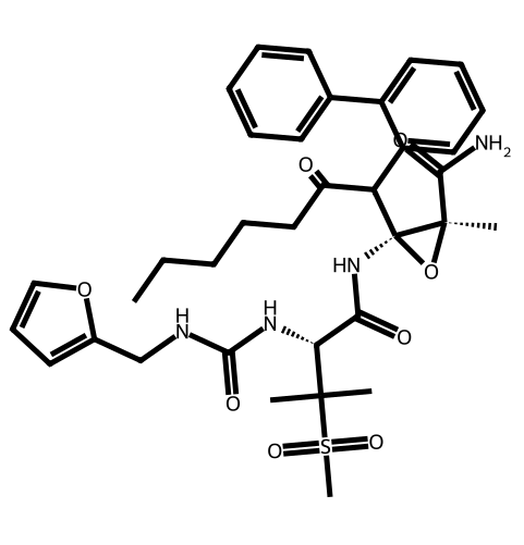 CCCCCC(=O)[C](c1ccccc1-c1ccccc1)[C@]1(NC(=O)[C@@H](NC(=O)NCc2ccco2)C(C)(C)S(C)(=O)=O)O[C@]1(C)C(N)=O